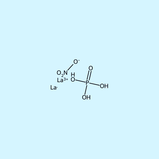 O=P(O)(O)O.O=[N+]([O-])[O-].[La+3].[La]